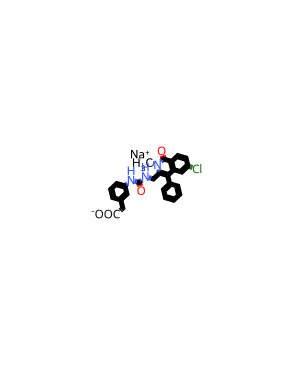 Cn1c(CNC(=O)Nc2cccc(CC(=O)[O-])c2)c(-c2ccccc2)c2cc(Cl)ccc2c1=O.[Na+]